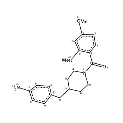 COc1ccc(C(=O)N2CCC(Cc3ccc(N)cc3)CC2)c(OC)c1